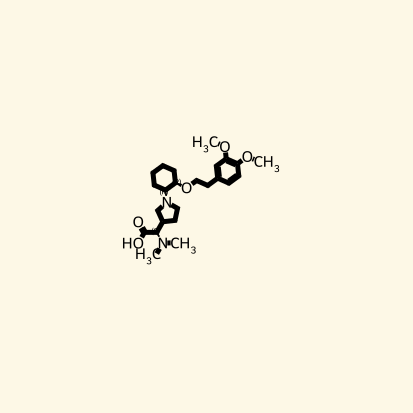 COc1ccc(CCO[C@@H]2CCCC[C@H]2N2CCC([C@@H](C(=O)O)N(C)C)C2)cc1OC